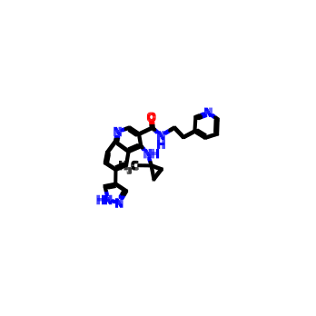 CC1(Nc2c(C(=O)NCCc3cccnc3)cnc3ccc(-c4cn[nH]c4)cc23)CC1